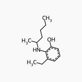 CCCCC(C)Nc1c(O)cccc1CC